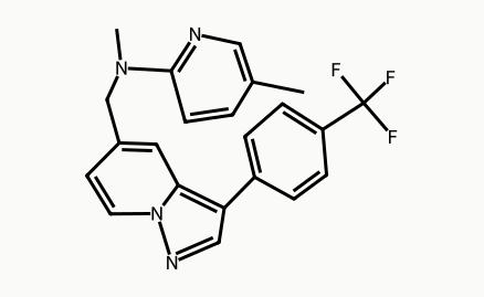 Cc1ccc(N(C)Cc2ccn3ncc(-c4ccc(C(F)(F)F)cc4)c3c2)nc1